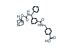 O=C(NC(c1ccccc1)c1cccc(C(=O)NCc2ccc(C(=O)O)cc2)c1)O[C@H]1CN2CCC1CC2